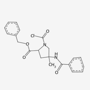 CC1(NC(=O)c2ccccc2)CC(C(=O)OCc2ccccc2)N(C(=O)Cl)C1